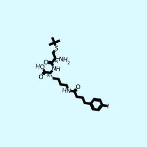 CC(C)(C)SC[C@H](N)C(=O)N[C@H](CCCCNC(=O)CCCc1ccc(I)cc1)C(=O)O